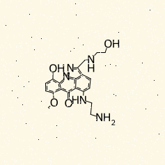 COc1ccc(O)c2c1c(=O)c1c(NCCN)ccc3c(CNCCO)nn2c31